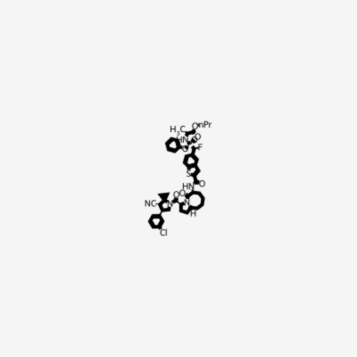 CCCOC(=O)[C@H](C)NP(=O)(Oc1ccccc1)[C@@H](F)c1ccc2sc(C(=O)N[C@H]3CCCC[C@H]4CC[C@@H](C(=O)N5C[C@@H](c6cccc(Cl)c6)[C@H](C#N)C56CC6)N4C3=O)cc2c1